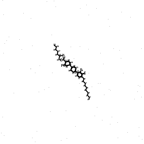 CCCCCCCCCCc1ccc(-c2ccc(-c3ccc(C4OCC(CCCCC)CO4)c(F)c3)cc2)c(F)c1F